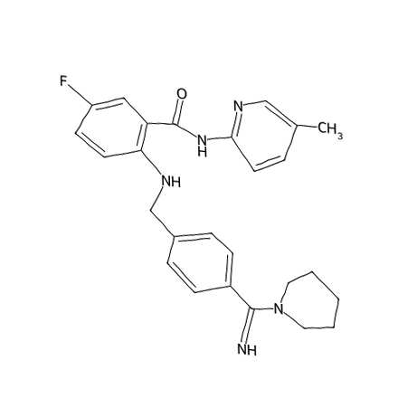 Cc1ccc(NC(=O)c2cc(F)ccc2NCc2ccc(C(=N)N3CCCCC3)cc2)nc1